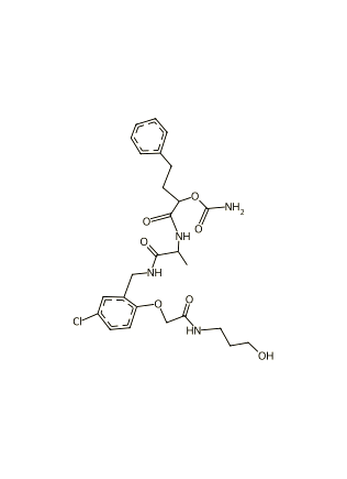 CC(NC(=O)C(CCc1ccccc1)OC(N)=O)C(=O)NCc1cc(Cl)ccc1OCC(=O)NCCCO